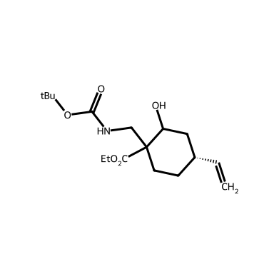 C=C[C@@H]1CCC(CNC(=O)OC(C)(C)C)(C(=O)OCC)C(O)C1